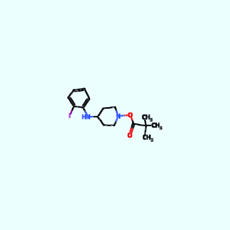 CC(C)(C)C(=O)ON1CCC(Nc2ccccc2I)CC1